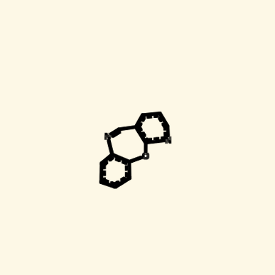 C1=Nc2ccccc2Oc2ncccc21